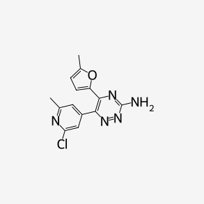 Cc1cc(-c2nnc(N)nc2-c2ccc(C)o2)cc(Cl)n1